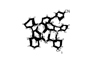 N#Cc1ccc(-c2ccc(-n3c4ccccc4c4ccccc43)c(-c3nc(-c4ccccc4)nc(-c4cc(C(F)(F)F)ccc4-n4c5ccccc5c5ccccc54)n3)c2)cc1